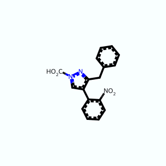 O=C(O)n1cc(-c2ccccc2[N+](=O)[O-])c(Cc2ccccc2)n1